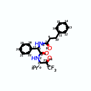 CC(C)[C@H](NC(=O)C(NC(=O)CCc1ccccc1)c1ccccc1)C(=O)C(F)(F)F